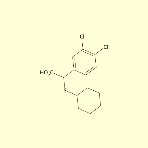 O=C(O)C(SC1CCCCC1)c1ccc(Cl)c(Cl)c1